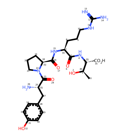 C[C@@H](O)[C@H](NC(=O)[C@H](CCCNC(=N)N)NC(=O)[C@@H]1CCCN1C(=O)[C@@H](N)Cc1ccc(O)cc1)C(=O)O